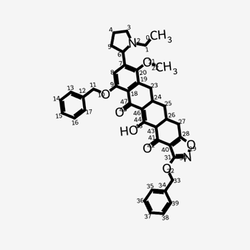 CCN1CCCC1c1cc(OCc2ccccc2)c2c(c1OC)CC1CC3Cc4onc(OCc5ccccc5)c4C(=O)C3C(O)=C1C2=O